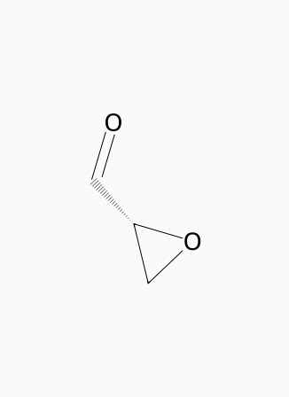 O=C[C@H]1CO1